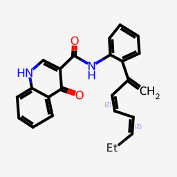 C=C(/C=C\C=C/CC)c1ccccc1NC(=O)c1c[nH]c2ccccc2c1=O